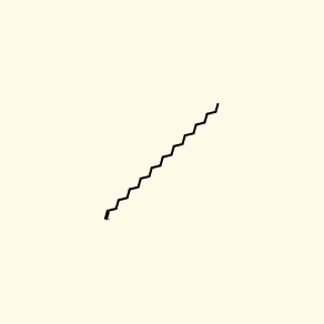 [CH]=CCCCCCCCCCCCCCCCCCCCC